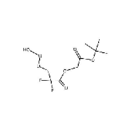 CC(C)(C)OC(=O)COC(=O)C(F)(F)SOOO